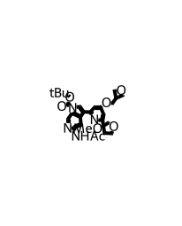 CO[C@@]1(c2cc(OCC3COC3)cc(-c3cn(C(=O)OC(C)(C)C)c4cnc(NC(C)=O)cc34)n2)CCOC1